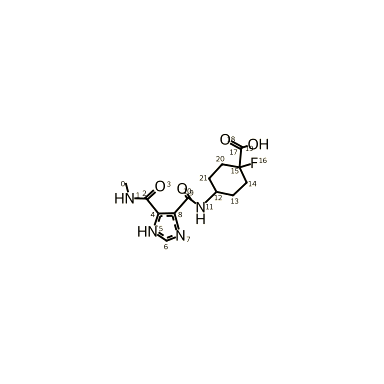 CNC(=O)c1[nH]cnc1C(=O)NC1CCC(F)(C(=O)O)CC1